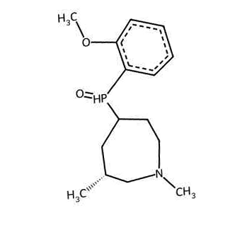 COc1ccccc1[PH](=O)C1CCN(C)C[C@H](C)C1